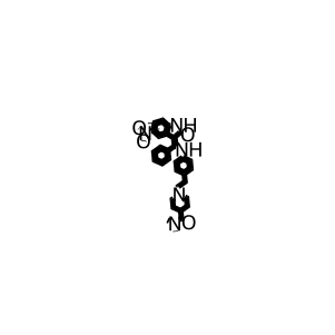 CN(C)C(=O)C1CCN(CCc2ccc(N/C(=C3\C(=O)Nc4ccc([N+](=O)[O-])cc43)c3ccccc3)cc2)CC1